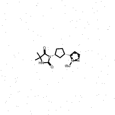 CC1(C)NC(=O)N([C@@H]2CC[C@H](c3ccnn3C(C)(C)C)C2)C1=O